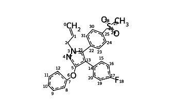 C=CCn1nc(Oc2ccccc2)c(-c2ccc(F)cc2)c1-c1ccc(S(C)(=O)=O)cc1